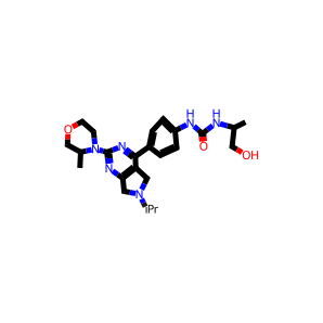 CC(CO)NC(=O)Nc1ccc(-c2nc(N3CCOCC3C)nc3c2CN(C(C)C)C3)cc1